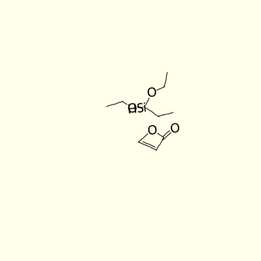 CCO[SiH](CC)OCC.O=C1C=CO1